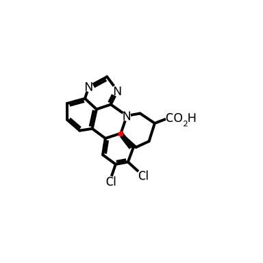 O=C(O)C1CCCN(c2ncnc3cccc(-c4ccc(Cl)c(Cl)c4)c23)C1